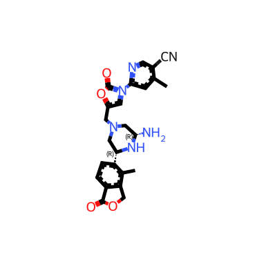 Cc1cc(-n2cc(CN3C[C@@H](c4ccc5c(c4C)COC5=O)N[C@@H](N)C3)oc2=O)ncc1C#N